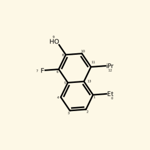 CCc1cccc2c(F)c(O)cc(C(C)C)c12